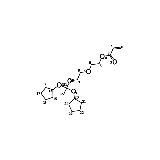 C=CC(=O)OCCOCCOC(C)(OC1CCCC1)OC1CCCC1